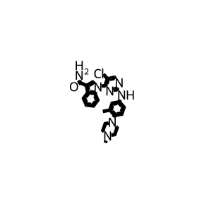 Cc1cc(Nc2ncc(Cl)c(-n3cc(C(N)=O)c4ccccc43)n2)ccc1N1CCN(C)CC1